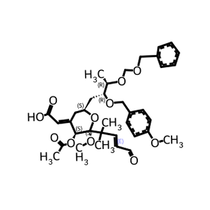 COc1ccc(CO[C@H](C[C@@H]2CC(=CC(=O)O)[C@H](OC(C)=O)[C@](OC)(C(C)(C)/C=C/C=O)O2)[C@@H](C)OCOCc2ccccc2)cc1